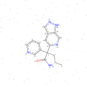 CCCC(C(N)=O)(c1cccnc1)c1cc2cn[nH]c2cn1